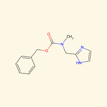 CN(Cc1ncc[nH]1)C(=O)OCc1ccccc1